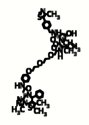 Cc1ncsc1-c1ccc(CNC(=O)[C@@H]2C[C@@H](O)CN2C(=O)[C@@H](NC(=O)COCCCOCCCOc2ccc(NC(=O)C[C@@H]3N=C(c4ccccc4)c4c(sc(C)c4C)-n4c(C)nnc43)cc2)C(C)(C)C)cc1